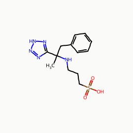 CC(Cc1ccccc1)(NCCCS(=O)(=O)O)c1nn[nH]n1